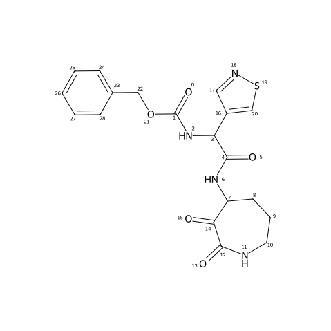 O=C(NC(C(=O)NC1CCCNC(=O)C1=O)c1cnsc1)OCc1ccccc1